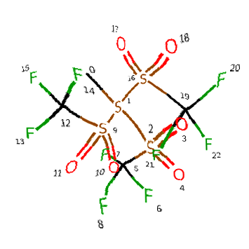 CS(S(=O)(=O)C(F)(F)F)(S(=O)(=O)C(F)(F)F)S(=O)(=O)C(F)(F)F